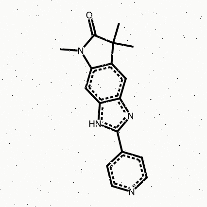 CN1C(=O)C(C)(C)c2cc3nc(-c4ccncc4)[nH]c3cc21